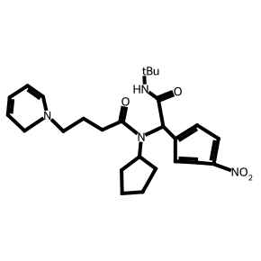 CC(C)(C)NC(=O)C(c1ccc([N+](=O)[O-])cc1)N(C(=O)CCCN1C=CC=CC1)C1CCCC1